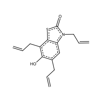 C=CCc1cc2c(sc(=O)n2CC=C)c(CC=C)c1O